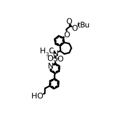 CN(C1CCCCc2c(OCC(=O)OC(C)(C)C)cccc21)S(=O)(=O)c1ccc(-c2cccc(CCO)c2)cn1